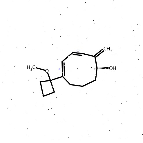 C=C1/C=C\C=C(\C2(OC)CCC2)CCC[C@@H]1O